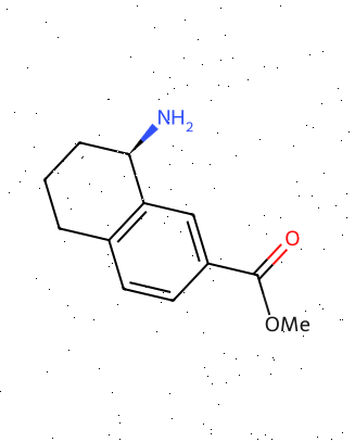 COC(=O)c1ccc2c(c1)[C@H](N)CCC2